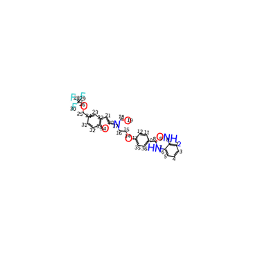 Nc1ccccc1NC(=O)c1ccc(OCCN(C=O)c2cc3cc(COC(F)(F)F)ccc3o2)cc1